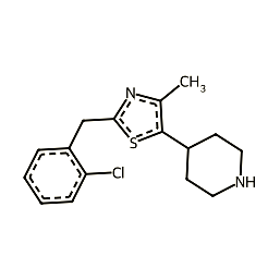 Cc1nc(Cc2ccccc2Cl)sc1C1CCNCC1